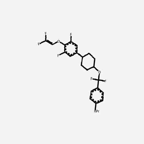 CCCc1ccc(C(F)(F)OC2CCC(c3cc(F)c(OC=C(F)F)c(F)c3)CC2)cc1